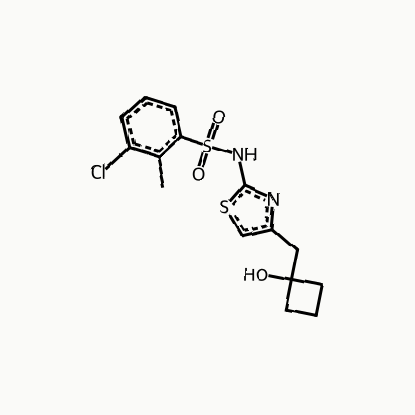 Cc1c(Cl)cccc1S(=O)(=O)Nc1nc(CC2(O)CCC2)cs1